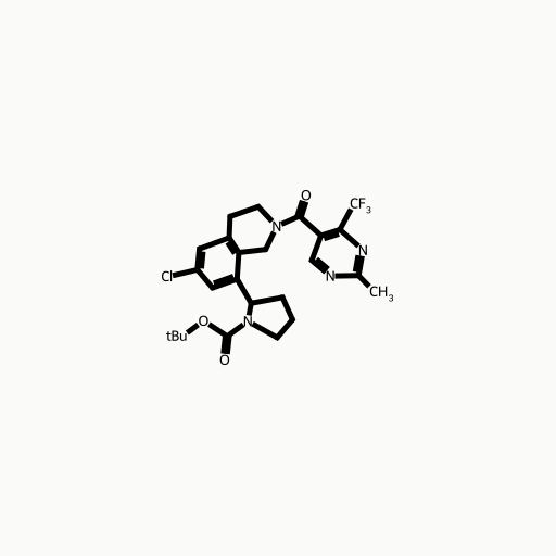 Cc1ncc(C(=O)N2CCc3cc(Cl)cc(C4CCCN4C(=O)OC(C)(C)C)c3C2)c(C(F)(F)F)n1